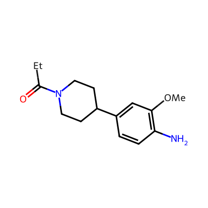 CCC(=O)N1CCC(c2ccc(N)c(OC)c2)CC1